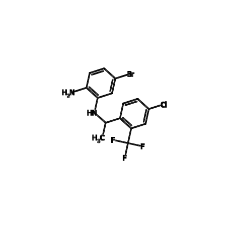 CC(Nc1cc(Br)ccc1N)c1ccc(Cl)cc1C(F)(F)F